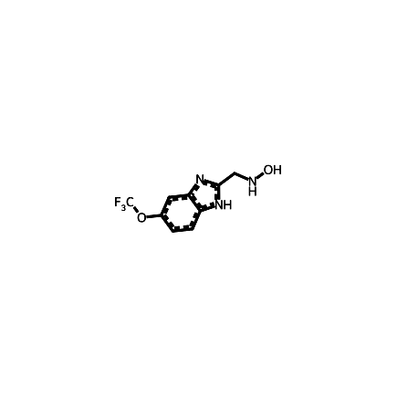 ONCc1nc2cc(OC(F)(F)F)ccc2[nH]1